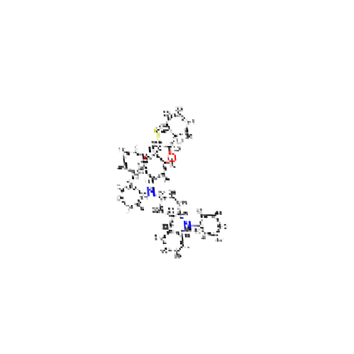 c1ccc(-c2ccccc2N(c2ccc3c(c2)oc2c4ccccc4sc32)c2ccc3c(c2)c2ccccc2n3-c2ccccc2)cc1